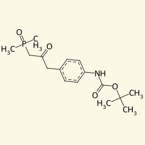 CC(C)(C)OC(=O)Nc1ccc(CC(=O)CP(C)(C)=O)cc1